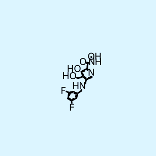 O=C(NO)c1ncc(CNCc2cc(F)cc(F)c2)c(CO)c1O